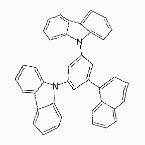 c1ccc2c(-c3cc(-n4c5ccccc5c5ccccc54)cc(-n4c5ccccc5c5ccccc54)c3)cccc2c1